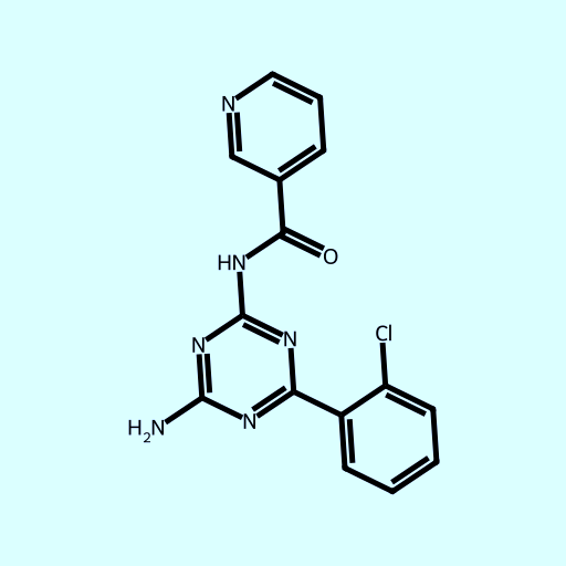 Nc1nc(NC(=O)c2cccnc2)nc(-c2ccccc2Cl)n1